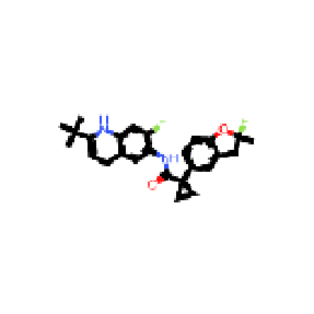 CC1(F)Cc2cc(C3(C(=O)Nc4cc5c(cc4F)NC(C(C)(C)C)=CC5)CC3)ccc2O1